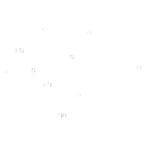 NC(=O)NCC1(CN2Cc3ccc(Cl)cc3C2=O)NC(=O)NC1=O